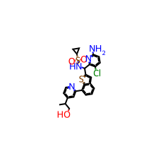 CC(CO)c1ccnc(-c2cccc3cc(C(NS(=O)(=O)C4CC4)c4nc(N)ccc4Cl)sc23)c1